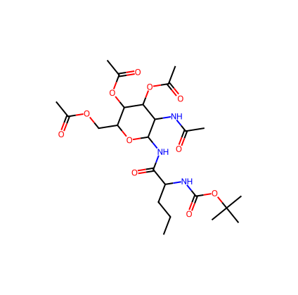 CCCC(NC(=O)OC(C)(C)C)C(=O)NC1OC(COC(C)=O)C(OC(C)=O)C(OC(C)=O)C1NC(C)=O